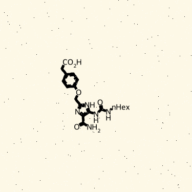 CCCCCCNC(=O)Nc1[nH]c(COc2ccc(CC(=O)O)cc2)nc1C(N)=O